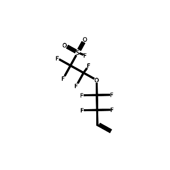 C=CC(F)(F)C(F)(F)OC(F)(F)C(F)(F)S(=O)(=O)F